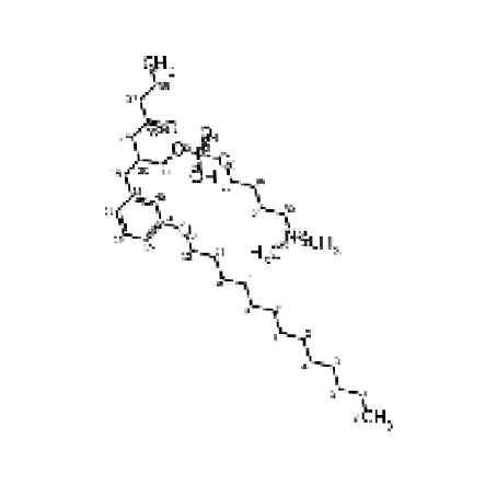 CCCCCCCCCCCCCOc1cccc(CC(COP(=O)(O)OCCCCN(C)C)CC(=O)CCC)c1